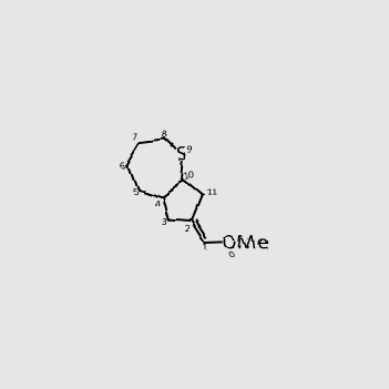 CO/C=C1/CC2CCCCSC2C1